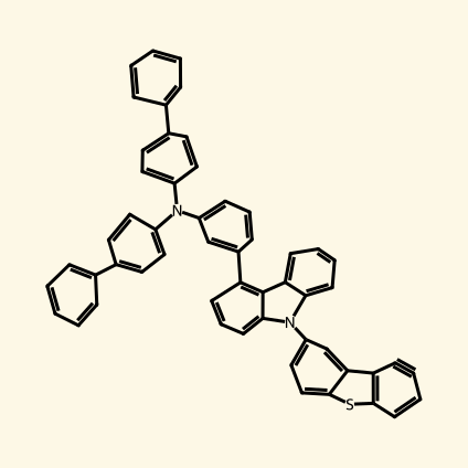 c1ccc2sc3ccc(-n4c5ccccc5c5c(-c6cccc(N(c7ccc(-c8ccccc8)cc7)c7ccc(-c8ccccc8)cc7)c6)cccc54)cc3c2c#1